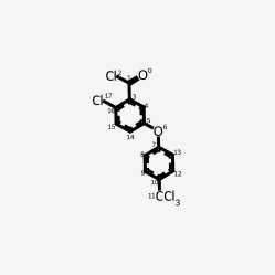 O=C(Cl)c1cc(Oc2ccc(C(Cl)(Cl)Cl)cc2)ccc1Cl